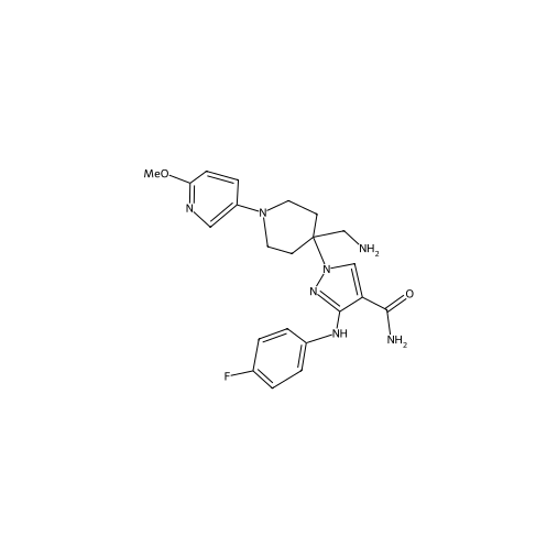 COc1ccc(N2CCC(CN)(n3cc(C(N)=O)c(Nc4ccc(F)cc4)n3)CC2)cn1